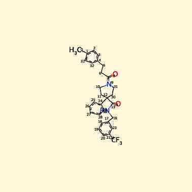 Cc1ccc(CCC(=O)N2CCC(C(=O)NCc3cccc(C(F)(F)F)c3)(c3ccccc3)CC2)cc1